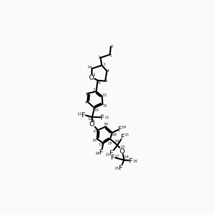 CCCC1CCC(c2ccc(C(F)(F)Oc3cc(F)c(C(F)(F)OC(F)(F)F)c(F)c3)cc2)OC1